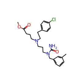 COC(=O)CCCN(CCCN(Cc1cccc(C)c1)C(N)=O)CCc1ccc(Cl)cc1